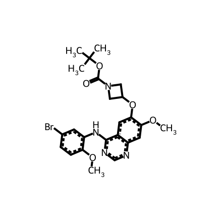 COc1ccc(Br)cc1Nc1ncnc2cc(OC)c(OC3CN(C(=O)OC(C)(C)C)C3)cc12